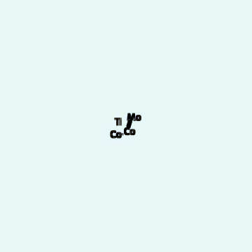 [Co].[Co][Mo].[Ti]